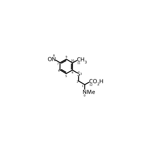 CNC(CSc1ccc(N=O)cc1C)C(=O)O